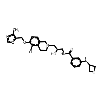 Cc1ncoc1COc1ccc2c(c1Cl)CCN(CC(O)CNC(=O)c1cccc(NC3COC3)c1)C2